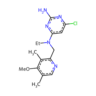 CCN(Cc1ncc(C)c(OC)c1C)c1cc(Cl)nc(N)n1